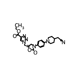 CCOC(=O)c1cn(C[C@H]2CN(c3ccc(N4CCC(CC#N)CC4)cc3)C(=O)O2)nn1